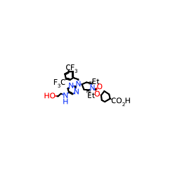 CC[C@@H]1CC(N(Cc2cc(C(F)(F)F)cc(C(F)(F)F)c2)c2ncc(NCCO)cn2)C[C@H](CC)N1C(=O)O[C@H]1CC[C@H](C(=O)O)CC1